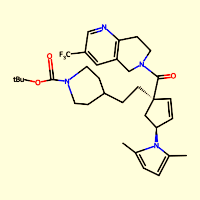 Cc1ccc(C)n1[C@@H]1C=C[C@](CCC2CCN(C(=O)OC(C)(C)C)CC2)(C(=O)N2CCc3ncc(C(F)(F)F)cc3C2)C1